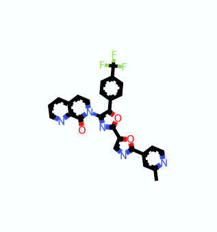 Cc1cc(-c2ncc(-c3nc(-n4ccc5cccnc5c4=O)c(-c4ccc(C(F)(F)F)cc4)o3)o2)ccn1